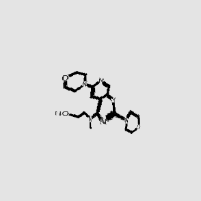 CN(CCO)c1nc(N2CCOCC2)nc2cnc(N3CCOCC3)cc12